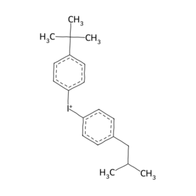 CC(C)Cc1ccc([I+]c2ccc(C(C)(C)C)cc2)cc1